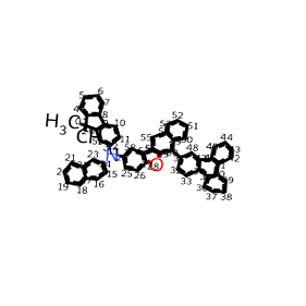 CC1(C)c2ccccc2-c2ccc(N(c3ccc4ccccc4c3)c3ccc4oc5c(-c6ccc7c8ccccc8c8ccccc8c7c6)c6ccccc6cc5c4c3)cc21